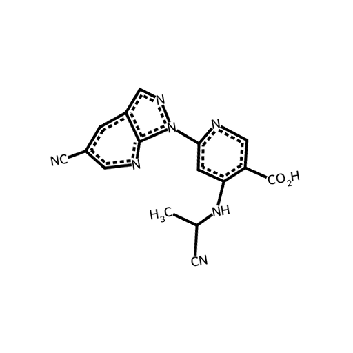 CC(C#N)Nc1cc(-n2ncc3cc(C#N)cnc32)ncc1C(=O)O